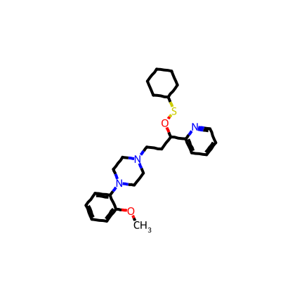 COc1ccccc1N1CCN(CCC(OSC2CCCCC2)c2ccccn2)CC1